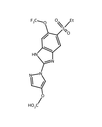 CCS(=O)(=O)c1cc2nc(-n3cc(OC(=O)O)cn3)[nH]c2cc1OC(F)(F)F